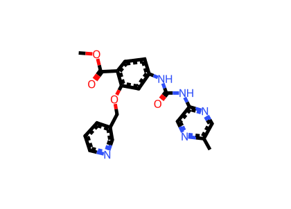 COC(=O)c1ccc(NC(=O)Nc2cnc(C)cn2)cc1OCc1cccnc1